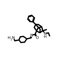 CCNC1(C)C2CC3(c4ccccc4)CC1C(C(=O)/N=C/C1CCC(CN)CC1)(C2)C3